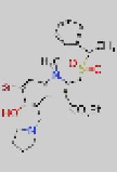 CCOC(=O)c1c(CS(=O)(=O)C(C)c2ccccc2)n(C)c2cc(Br)c(O)c(CN3CCCC3)c12